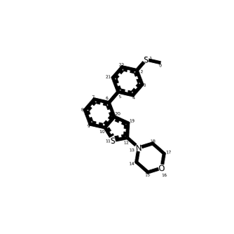 CSc1ccc(-c2cccc3sc(N4CCOCC4)cc23)cc1